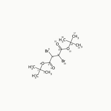 CC(C)(C)OC(=O)C(Br)C(Br)C(=O)OC(C)(C)C